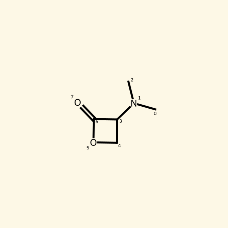 CN(C)C1COC1=O